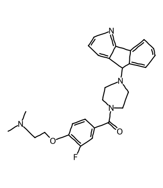 CN(C)CCOc1ccc(C(=O)N2CCN(C3c4ccccc4-c4ncccc43)CC2)cc1F